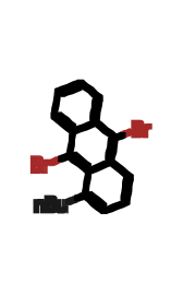 CCCCc1cccc2c(Br)c3ccccc3c(Br)c12